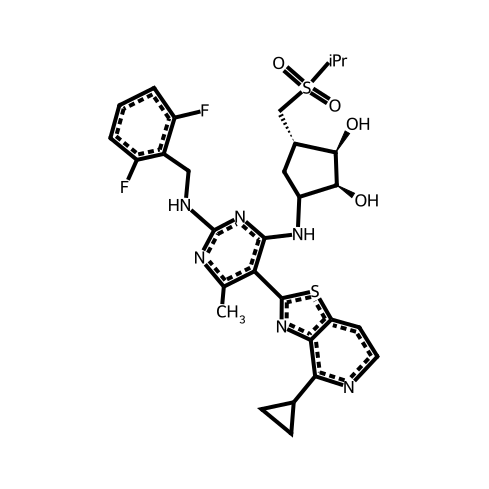 Cc1nc(NCc2c(F)cccc2F)nc(NC2C[C@H](CS(=O)(=O)C(C)C)[C@@H](O)[C@H]2O)c1-c1nc2c(C3CC3)nccc2s1